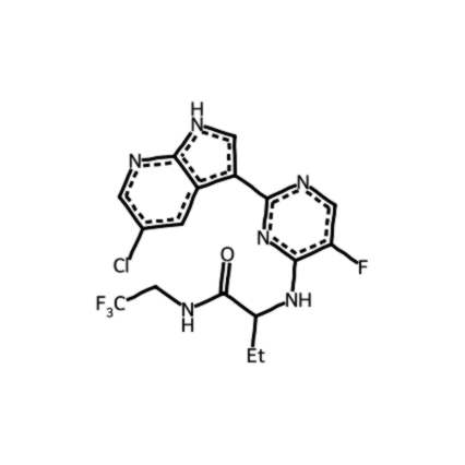 CCC(Nc1nc(-c2c[nH]c3ncc(Cl)cc23)ncc1F)C(=O)NCC(F)(F)F